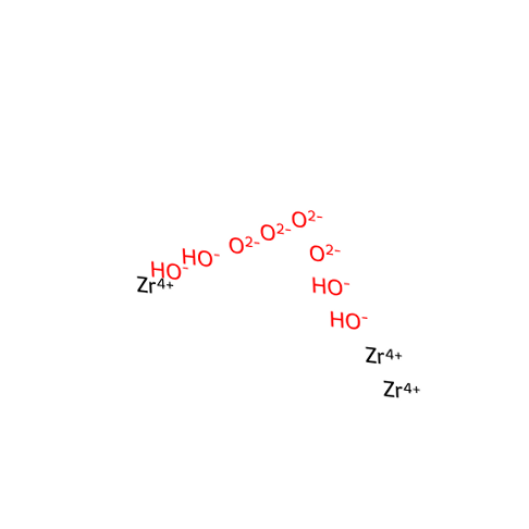 [O-2].[O-2].[O-2].[O-2].[OH-].[OH-].[OH-].[OH-].[Zr+4].[Zr+4].[Zr+4]